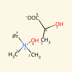 CC(C)[N+](C)(C)O.CC(O)C(=O)[O-]